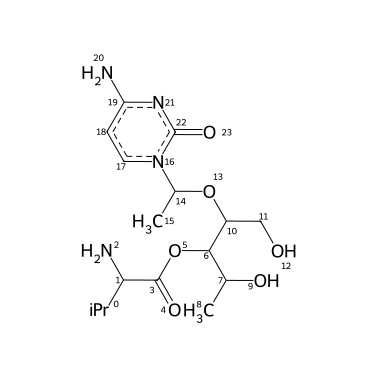 CC(C)C(N)C(=O)OC(C(C)O)C(CO)OC(C)n1ccc(N)nc1=O